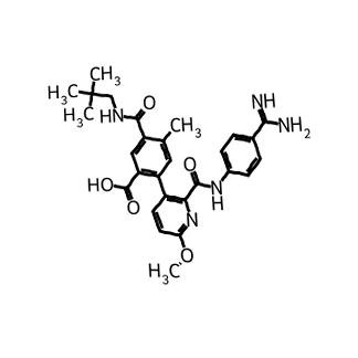 COc1ccc(-c2cc(C)c(C(=O)NCC(C)(C)C)cc2C(=O)O)c(C(=O)Nc2ccc(C(=N)N)cc2)n1